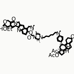 C=C1OCc2c(cc3n(c2=O)Cc2cc4c(CN(C)C)c(OC(=O)N5C[C@@H](C)N(CCCCCCN(C)c6ccc([C@H]7C[C@@]8(C)[C@@H](CC[C@]8(OC(C)=O)C(C)=O)[C@@H]8CCC9=CC(=O)CCC9=C87)cc6)C[C@@H]5C)ccc4nc2-3)[C@@]1(O)CC